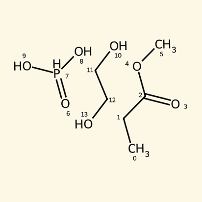 CCC(=O)OC.O=[PH](O)O.OCCO